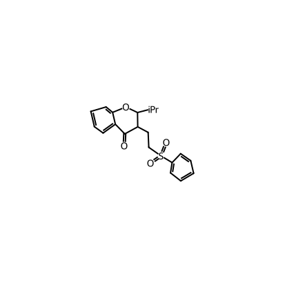 CC(C)C1Oc2ccccc2C(=O)C1CCS(=O)(=O)c1ccccc1